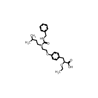 CCOC(Cc1ccc(OCCN(CCC(C)C)C(=O)NCc2ccccc2)cc1)C(=O)O